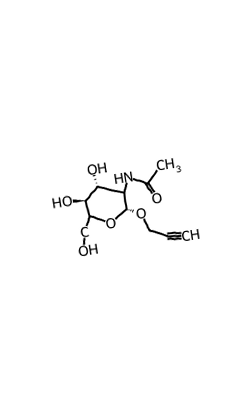 C#CCO[C@@H]1OC(CO)[C@@H](O)[C@H](O)C1NC(C)=O